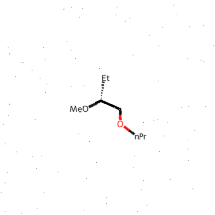 CCCOC[C@@H](CC)OC